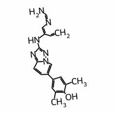 C=C/C(=C\N=C/N)Nc1nc2ccc(-c3cc(C)c(O)c(C)c3)cn2n1